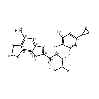 CC(C)[C@@H](C)N(Cc1ncc(C2CC2)cc1F)C(=O)c1cc2nc(N)c3c(c2[nH]1)COC3